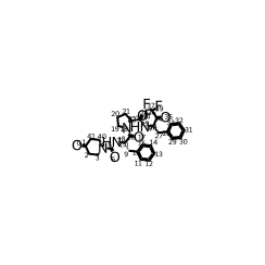 O=C1CCN(C(=O)N[C@@H](Cc2ccccc2)C(=O)N2CCC[C@H]2C(=O)N[C@H](Cc2ccccc2)C(=O)C(F)(F)F)CC1